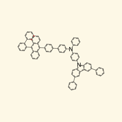 c1ccc(-c2ccc3c(c2)c2cc(-c4ccccc4)ccc2n3-c2ccc(N(c3ccccc3)c3ccc(-c4ccc(-c5c6ccccc6c(-c6ccccc6-c6ccccc6)c6ccccc56)cc4)cc3)cc2)cc1